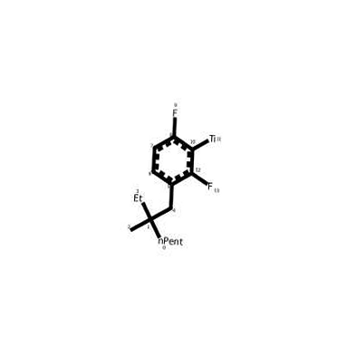 CCCCCC(C)(CC)Cc1ccc(F)[c]([Ti])c1F